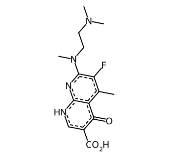 Cc1c(F)c(N(C)CCN(C)C)nc2[nH]cc(C(=O)O)c(=O)c12